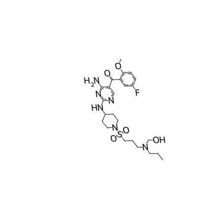 CCCN(CO)CCCS(=O)(=O)N1CCC(Nc2ncc(C(=O)c3cc(F)ccc3OC)c(N)n2)CC1